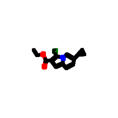 CCOC(=O)c1cc2ccc(C3CC3)cn2c1Cl